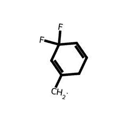 [CH2]C1=CC(F)(F)C=CC1